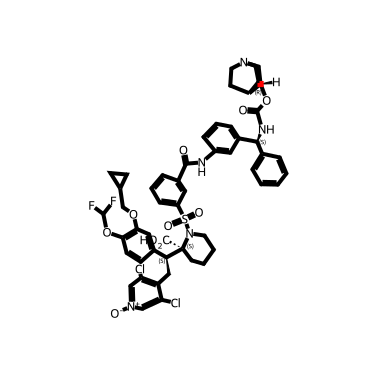 O=C(N[C@@H](c1ccccc1)c1cccc(NC(=O)c2cccc(S(=O)(=O)N3CCCC[C@@]3(C(=O)O)[C@@H](Cc3c(Cl)c[n+]([O-])cc3Cl)c3ccc(OC(F)F)c(OCC4CC4)c3)c2)c1)O[C@H]1CN2CCC1CC2